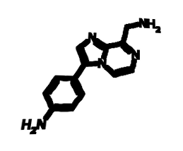 NCc1nccn2c(-c3ccc(N)cc3)cnc12